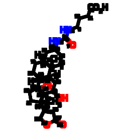 C[C@]12CC[C@H](NC(=O)NCCCC(=O)O)C[C@H]1CC[C@@H]1[C@@H]2C[C@@H](O)[C@]2(C)[C@@H](C3=CC(=O)OC3)CC[C@]12O